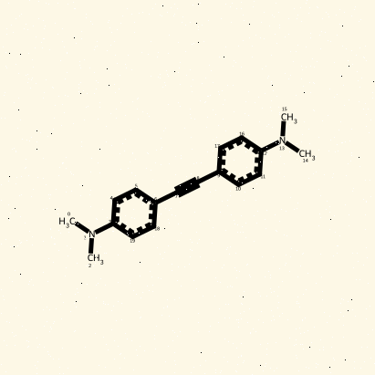 CN(C)c1ccc(C#Cc2ccc(N(C)C)cc2)cc1